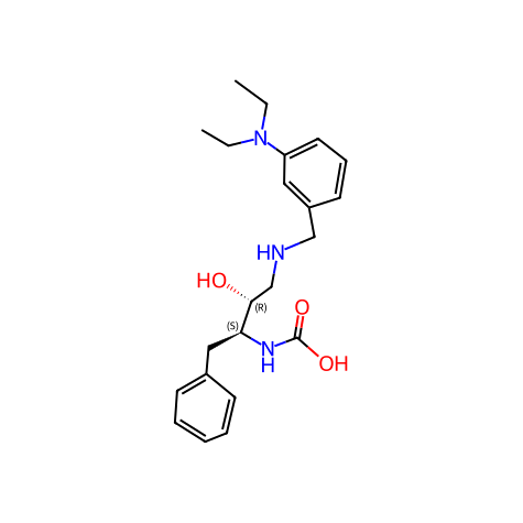 CCN(CC)c1cccc(CNC[C@@H](O)[C@H](Cc2ccccc2)NC(=O)O)c1